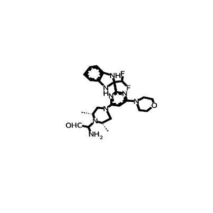 C[C@@H]1CN(c2cc(N3CCOCC3)nc(C3(C(F)F)Nc4ccccc4N3)n2)C[C@H](C)N1C(N)C=O